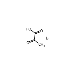 CC(=O)C(=O)O.[Tb]